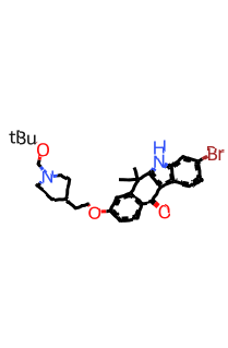 CC(C)(C)OCN1CCC(CCOc2ccc3c(c2)C(C)(C)c2[nH]c4cc(Br)ccc4c2C3=O)CC1